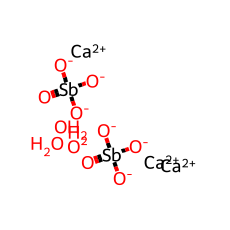 O.O.O.[Ca+2].[Ca+2].[Ca+2].[O]=[Sb]([O-])([O-])[O-].[O]=[Sb]([O-])([O-])[O-]